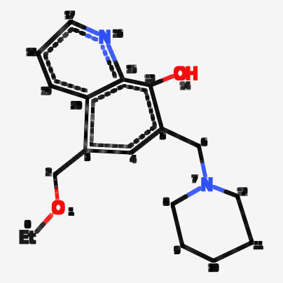 CCOCc1cc(CN2CCCCC2)c(O)c2ncccc12